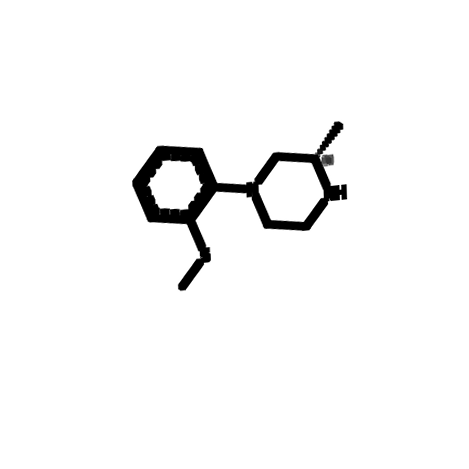 CSc1ccccc1N1CCN[C@@H](C)C1